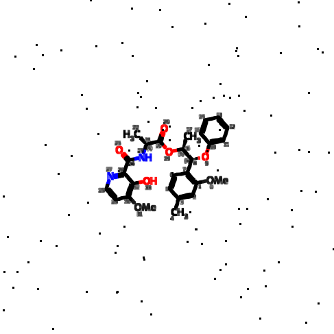 COc1cc(C)ccc1[C@@H](Oc1ccccc1)[C@H](C)OC(=O)[C@H](C)NC(=O)c1nccc(OC)c1O